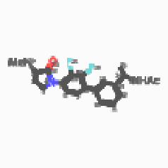 CNC1CCN(c2ccc(-c3cccc(C(C)NC(C)=O)c3)c(F)c2F)C1=O